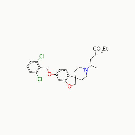 CCOC(=O)CCC(C)N1CCC2(CC1)COc1cc(OCc3c(Cl)cccc3Cl)ccc12